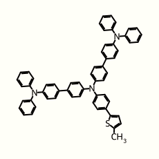 Cc1ccc(-c2ccc(N(c3ccc(-c4ccc(N(c5ccccc5)c5ccccc5)cc4)cc3)c3ccc(-c4ccc(N(c5ccccc5)c5ccccc5)cc4)cc3)cc2)s1